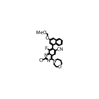 COCOc1cc(-c2c(C#N)cc3c(N4CCCOCC4)nc(Cl)nc3c2F)c2ccccc2c1